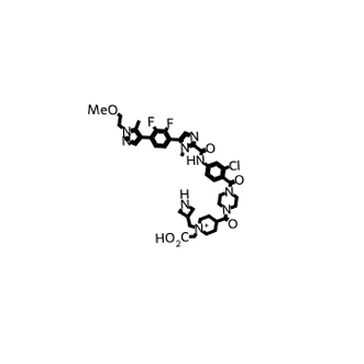 COCCn1ncc(-c2ccc(-c3cnc(C(=O)Nc4ccc(C(=O)N5CCN(C(=O)C6CC[N+](CC(=O)O)(CC7CNC7)CC6)CC5)c(Cl)c4)n3C)c(F)c2F)c1C